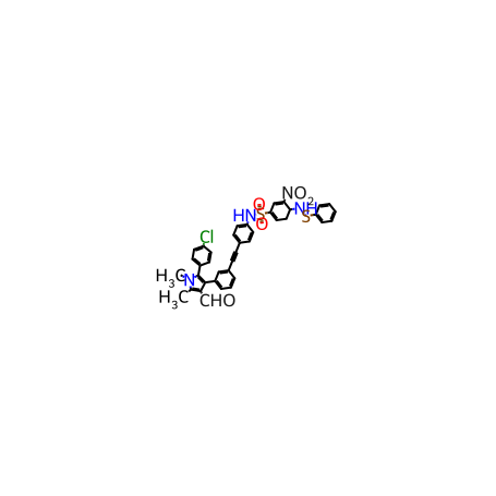 Cc1c(C=O)c(-c2cccc(C#Cc3ccc(NS(=O)(=O)C4=CCC(NSc5ccccc5)C([N+](=O)[O-])=C4)cc3)c2)c(-c2ccc(Cl)cc2)n1C